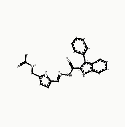 CC(=O)OCc1ccc(/C=N/NC(=O)c2[nH]c3ccccc3c2-c2ccccc2)o1